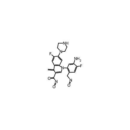 C=C1C(C(=O)N=O)=CN(c2cc(N)c(F)cc2CN=O)c2cc(N3CCNCC3)c(F)cc21